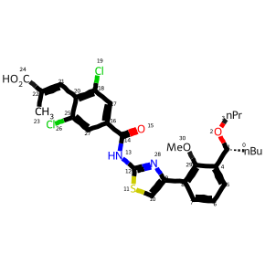 CCCC[C@@H](OCCC)c1cccc(-c2csc(NC(=O)c3cc(Cl)c(C=C(C)C(=O)O)c(Cl)c3)n2)c1OC